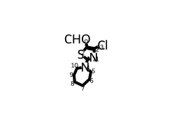 O=Cc1sc(N2CCCCCC2)nc1Cl